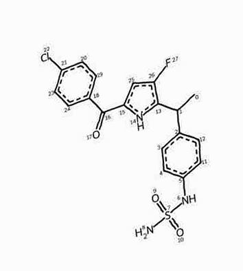 CC(c1ccc(NS(N)(=O)=O)cc1)c1[nH]c(C(=O)c2ccc(Cl)cc2)cc1F